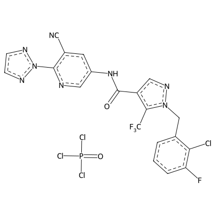 N#Cc1cc(NC(=O)c2cnn(Cc3cccc(F)c3Cl)c2C(F)(F)F)cnc1-n1nccn1.O=P(Cl)(Cl)Cl